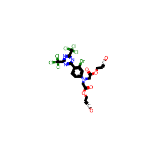 O=C=CCOC(=O)CN(CC(=O)OCC=C=O)c1ccc(-c2nc(C(Cl)(Cl)Cl)nc(C(Cl)(Cl)Cl)n2)c(Br)c1